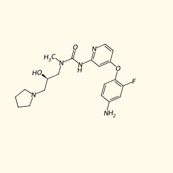 CN(C[C@H](O)CN1CCCC1)C(=O)Nc1cc(Oc2ccc(N)cc2F)ccn1